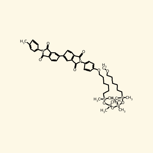 COCCCCCC[Si](C)(C)O[Si](C)(C)O[Si](C)(C)O[Si](C)(C)CCCCCCOc1ccc(N2C(=O)c3ccc(-c4ccc5c(c4)C(=O)N(c4ccc(C)cc4)C5=O)cc3C2=O)cc1